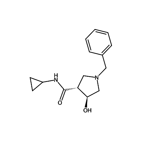 O=C(NC1CC1)[C@@H]1CN(Cc2ccccc2)C[C@H]1O